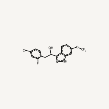 OC(Cc1ccc(Cl)cc1F)c1n[nH]c2cc(OC(F)(F)F)ccc12